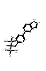 O=P(O)(O)C(F)(Cc1ccc(-c2ccc3[nH]ncc3c2)cn1)P(=O)(O)O